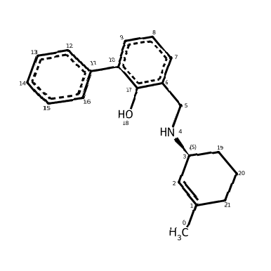 CC1=C[C@@H](NCc2cccc(-c3ccccc3)c2O)CCC1